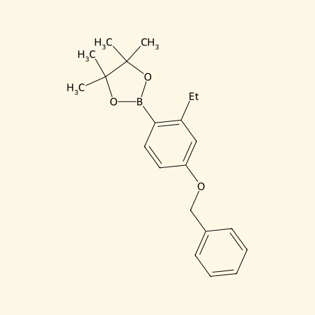 CCc1cc(OCc2ccccc2)ccc1B1OC(C)(C)C(C)(C)O1